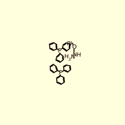 NNC[O][Rh].c1ccc(P(c2ccccc2)c2ccccc2)cc1.c1ccc(P(c2ccccc2)c2ccccc2)cc1